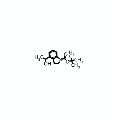 CC(O)c1cccc2c1CCN2C(=O)OC(C)(C)C